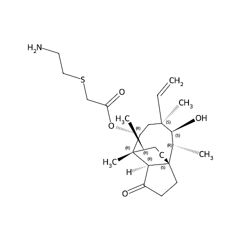 C=C[C@]1(C)C[C@@H](OC(=O)CSCCN)[C@]2(C)[C@H](C)CC[C@]3(CCC(=O)[C@H]32)[C@@H](C)[C@@H]1O